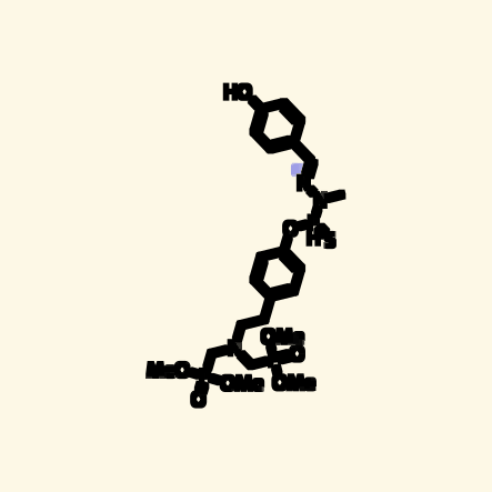 COP(=O)(CN(CCc1ccc(O[PH](=S)N(C)/N=C/c2ccc(O)cc2)cc1)CP(=O)(OC)OC)OC